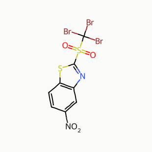 O=[N+]([O-])c1ccc2sc(S(=O)(=O)C(Br)(Br)Br)nc2c1